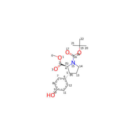 COC(=O)[C@@H]1[C@@H](c2ccc(O)cc2)CCN1C(=O)OC(C)(C)C